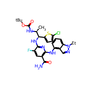 CCn1ncc2c(Nc3nc(N[C@H](c4ccc(Cl)s4)[C@H](C)NC(=O)OC(C)(C)C)c(F)cc3C(N)=O)cccc21